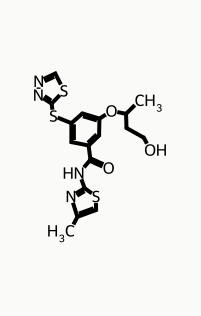 Cc1csc(NC(=O)c2cc(OC(C)CCO)cc(Sc3nncs3)c2)n1